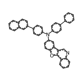 c1ccc(-c2ccc(N(c3ccc(-c4ccc5ccccc5c4)cc3)c3ccc4oc5c6ccccc6ncc5c4c3)cc2)cc1